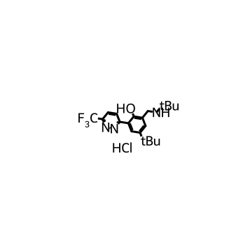 CC(C)(C)NCc1cc(C(C)(C)C)cc(-c2ccc(C(F)(F)F)nn2)c1O.Cl